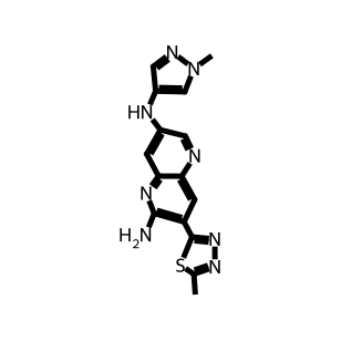 Cc1nnc(-c2cc3ncc(Nc4cnn(C)c4)cc3nc2N)s1